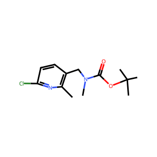 Cc1nc(Cl)ccc1CN(C)C(=O)OC(C)(C)C